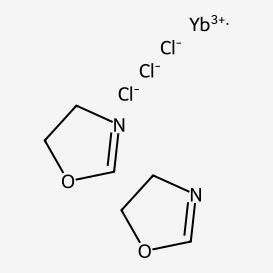 C1=NCCO1.C1=NCCO1.[Cl-].[Cl-].[Cl-].[Yb+3]